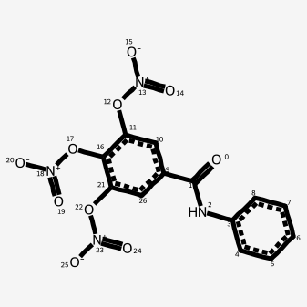 O=C(Nc1ccccc1)c1cc(O[N+](=O)[O-])c(O[N+](=O)[O-])c(O[N+](=O)[O-])c1